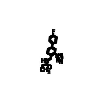 C=CC(=O)NCc1ccc(-c2ccc(F)cc2)cc1-n1ccnn1